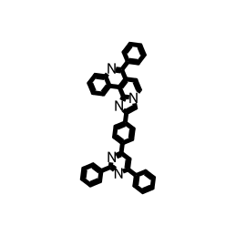 c1ccc(-c2cc(-c3ccc(-c4cn5ccc6c(-c7ccccc7)nc7ccccc7c6c5n4)cc3)nc(-c3ccccc3)n2)cc1